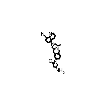 CC1CN(c2ccc(C#N)c3ncccc23)CC2Cc3cc(N4CC(N)CC4=O)ccc3CN12